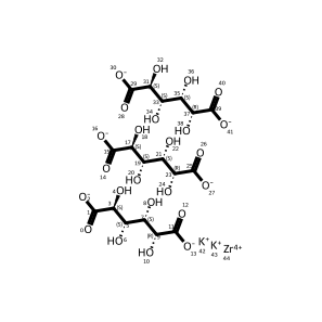 O=C([O-])[C@@H](O)[C@@H](O)[C@H](O)[C@@H](O)C(=O)[O-].O=C([O-])[C@@H](O)[C@@H](O)[C@H](O)[C@@H](O)C(=O)[O-].O=C([O-])[C@@H](O)[C@@H](O)[C@H](O)[C@@H](O)C(=O)[O-].[K+].[K+].[Zr+4]